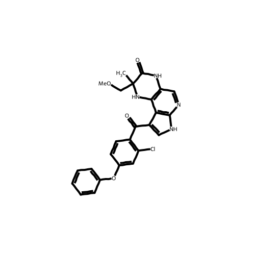 COCC1(C)Nc2c(cnc3[nH]cc(C(=O)c4ccc(Oc5ccccc5)cc4Cl)c23)NC1=O